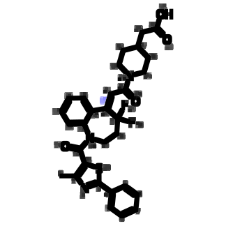 Cc1nc(-c2ccccc2)sc1C(=O)N1CCC(F)(F)/C(=C\C(=O)N2CCC(CC(=O)O)CC2)c2ccccc21